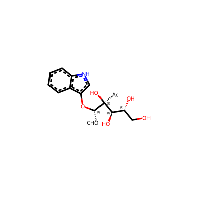 CC(=O)[C@@](O)([C@H](C=O)Oc1c[nH]c2ccccc12)[C@H](O)[C@H](O)CO